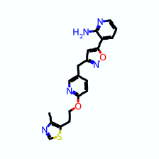 Cc1ncsc1CCOc1ccc(Cc2cc(-c3cccnc3N)on2)cn1